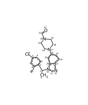 CC(c1ccc(Cl)cc1F)n1cnc2ccc(N3CCN(C=O)CC3)cc21